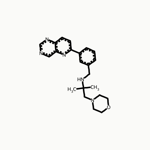 CC(C)(CN1CCOCC1)NCc1cccc(-c2ccc3ncncc3n2)c1